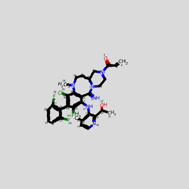 C=CC(=O)N1CCN2C(=N)c3c(Nc4c(C)ccnc4C(C)O)c(F)c(-c4c(F)cccc4F)c(Cl)c3N(C)CCC2C1